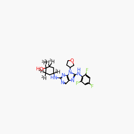 [2H]C1(Nc2ncc3nc(Nc4c(F)cc(F)cc4F)n(C4CCOC4)c3n2)CC([2H])([2H])C([2H])(O)C([2H])([2H])C1